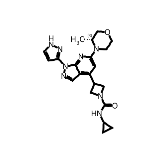 C[C@@H]1COCCN1c1cc(C2CN(C(=O)NC3CC3)C2)c2cnn(-c3cc[nH]n3)c2n1